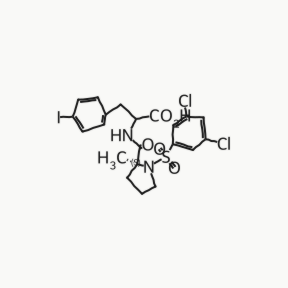 C[C@@]1(C(=O)NC(Cc2ccc(I)cc2)C(=O)O)CCCN1S(=O)(=O)c1cc(Cl)cc(Cl)c1